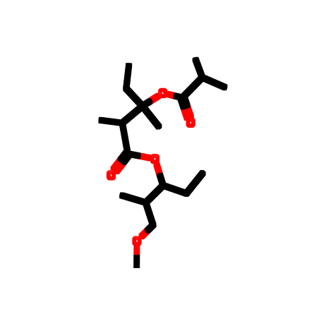 CCC(OC(=O)C(C)C(C)(CC)OC(=O)C(C)C)C(C)COC